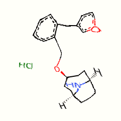 Cl.c1ccc(-c2ccoc2)c(CO[C@H]2C[C@H]3CC[C@@H](C2)N3)c1